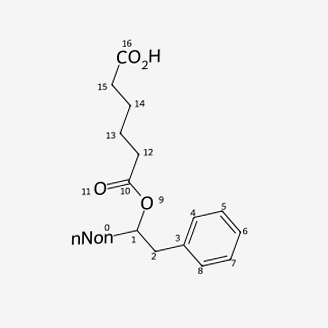 CCCCCCCCCC(Cc1ccccc1)OC(=O)CCCCC(=O)O